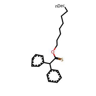 CCCCCCCCCCCCCCCCCOC(=S)C(c1ccccc1)c1ccccc1